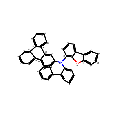 c1ccc(-c2ccccc2N(c2ccc3c4ccccc4c4ccccc4c3c2)c2cccc3c2oc2ccccc23)cc1